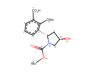 COc1c(C(=O)O)cccc1[C@@H]1C[C@@H](O)CN1C(=O)OC(C)(C)C